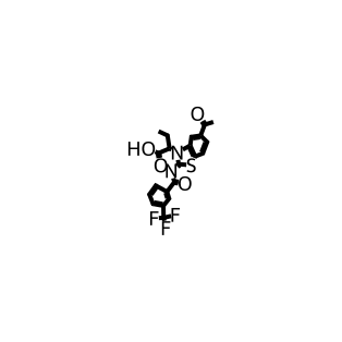 CCC(C(=O)O)n1/c(=N/C(=O)c2cccc(C(F)(F)F)c2)sc2ccc(C(C)=O)cc21